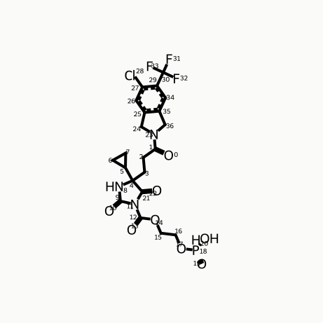 O=C(CCC1(C2CC2)NC(=O)N(C(=O)OCCO[PH](=O)O)C1=O)N1Cc2cc(Cl)c(C(F)(F)F)cc2C1